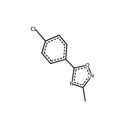 Cc1noc(-c2ccc(Cl)cc2)n1